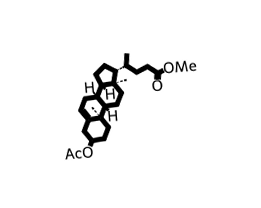 COC(=O)CCC(C)[C@H]1CC[C@H]2[C@@H]3CC=C4CC(OC(C)=O)CC[C@]4(C)[C@H]3CC[C@]12C